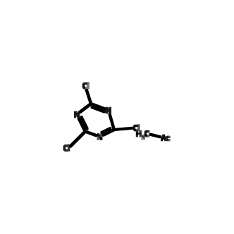 CC(C)=O.Clc1nc(Cl)nc(Cl)n1